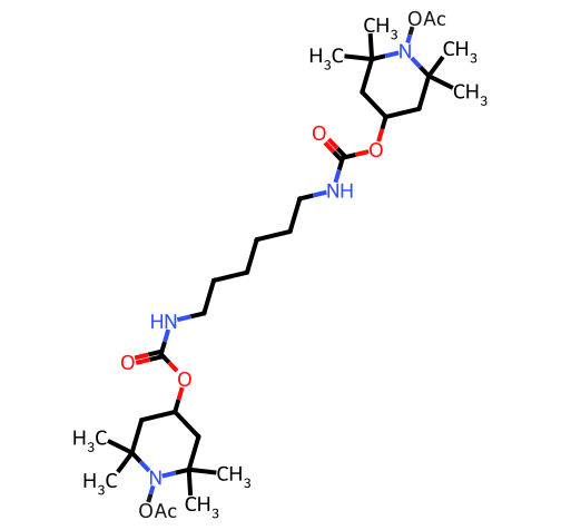 CC(=O)ON1C(C)(C)CC(OC(=O)NCCCCCCNC(=O)OC2CC(C)(C)N(OC(C)=O)C(C)(C)C2)CC1(C)C